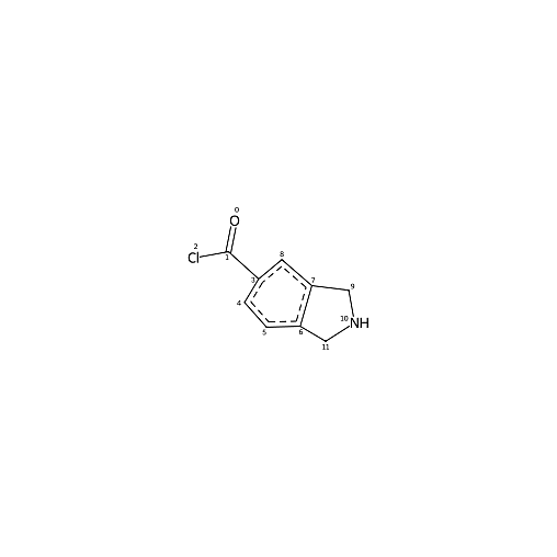 O=C(Cl)c1ccc2c(c1)CNC2